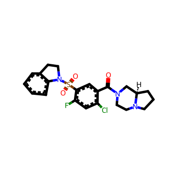 O=C(c1cc(S(=O)(=O)N2CCc3ccccc32)c(F)cc1Cl)N1CCN2CCC[C@@H]2C1